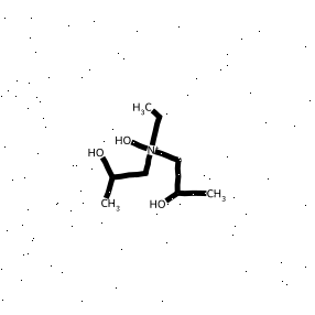 CC[N+](O)(CC(C)O)CC(C)O